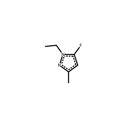 CCn1nc(C)cc1F